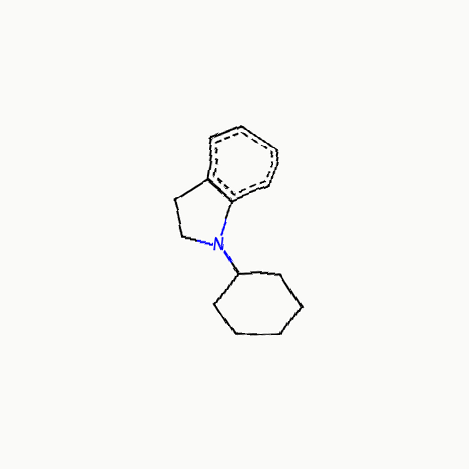 c1ccc2c(c1)CCN2C1CCCCC1